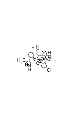 COc1cc(Cl)ccc1S(=O)(=O)NC(c1n[nH]c(=O)o1)C(C)c1c(F)ccc(-c2c[nH]nc2C)c1C